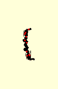 CN[C@]12CC[C@]3(C)[C@@H]([C@H](C)CCCC(C)C)CC[C@H]3[C@@H]1CC[C@H]1CC(c3ccc(-c4cc5c(c6ccccc46)-c4cc6c(cc4C5(C)C)-c4cc5c(cc4C6(C)C)-c4c(cc(-c6ccc(C7CC[C@@]8(C)[C@@H](CC[C@@H]9[C@@H]8CC[C@]8(C)[C@@H]([C@H](C)CCCC(C)C)CC[C@@H]98)C7)cc6)c6ccccc46)C5(C)C)cc3)CC[C@@]12C